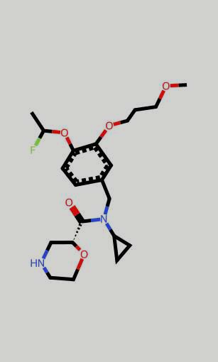 COCCCOc1cc(CN(C(=O)[C@H]2CNCCO2)C2CC2)ccc1OC(C)F